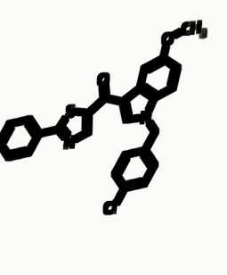 COc1ccc2c(c1)c(C(=O)c1cnc(-c3ccccc3)s1)cn2Cc1ccc(Cl)cc1